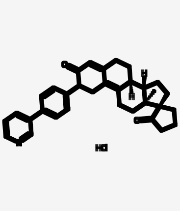 C[C@]12CCC3=C4CC(c5ccc(-c6cccnc6)cc5)C(=O)C=C4CC[C@H]3[C@@H]1CC[C@]21CCCC1=O.Cl